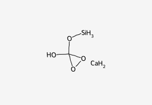 OC1(O[SiH3])OO1.[CaH2]